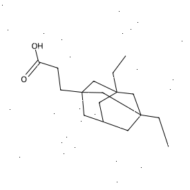 CCC12CC3CC(CC)(C1)CC(CCC(=O)O)(C3)C2